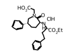 CCOC(=O)[C@H](CCc1ccccc1)N[C@H]1CC[C@H](c2ccccc2)CN(CC(=O)O)C1=O.Cl